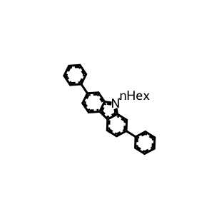 CCCCCCn1c2cc(-c3ccccc3)ccc2c2ccc(-c3ccccc3)cc21